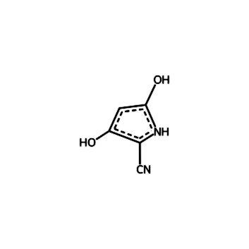 N#Cc1[nH]c(O)cc1O